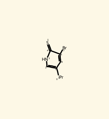 CC(C)c1c[nH]c(=S)c(Br)c1